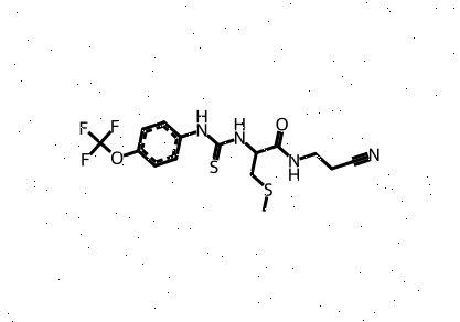 CSCC(NC(=S)Nc1ccc(OC(F)(F)F)cc1)C(=O)NCCC#N